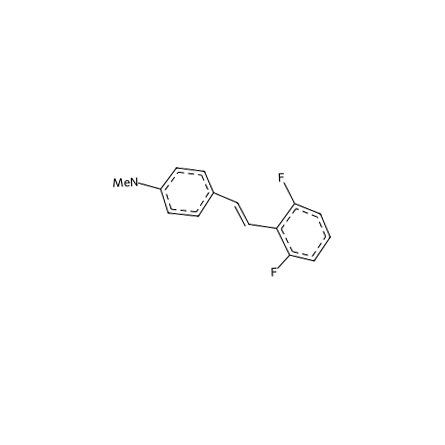 CNc1ccc(/C=C/c2c(F)cccc2F)cc1